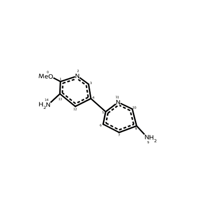 COc1ncc(-c2ccc(N)cn2)cc1N